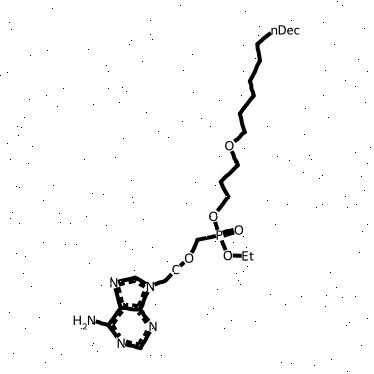 CCCCCCCCCCCCCCCCOCCCOP(=O)(COCCn1cnc2c(N)ncnc21)OCC